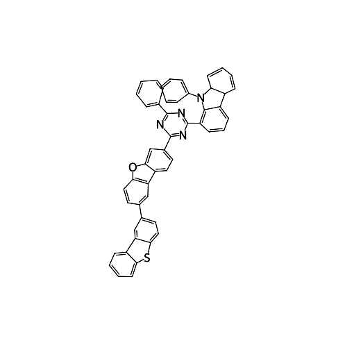 C1=CC2c3cccc(-c4nc(-c5ccccc5)nc(-c5ccc6c(c5)oc5ccc(-c7ccc8sc9ccccc9c8c7)cc56)n4)c3N(c3ccccc3)C2C=C1